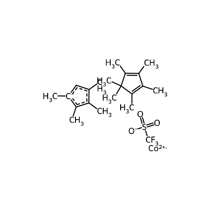 CC1=C(C)C(C)(C)C(C)=C1C.Cc1c[c-](C)c(C)c1C.O=S(=O)([O-])C(F)(F)F.[Co+2]